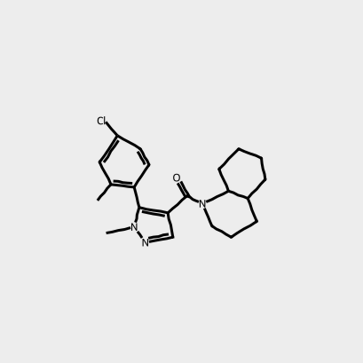 Cc1cc(Cl)ccc1-c1c(C(=O)N2CCCC3CCCCC32)cnn1C